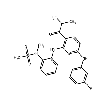 CC(C)C(=O)c1cnc(Nc2cccc(F)c2)nc1Nc1ccccc1N(C)S(C)(=O)=O